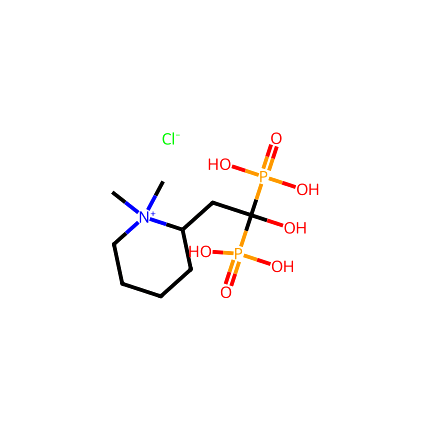 C[N+]1(C)CCCCC1CC(O)(P(=O)(O)O)P(=O)(O)O.[Cl-]